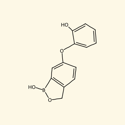 OB1OCc2ccc(Oc3ccccc3O)cc21